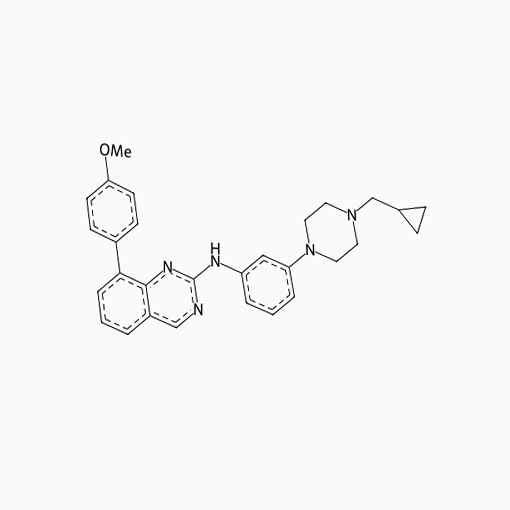 COc1ccc(-c2cccc3cnc(Nc4cccc(N5CCN(CC6CC6)CC5)c4)nc23)cc1